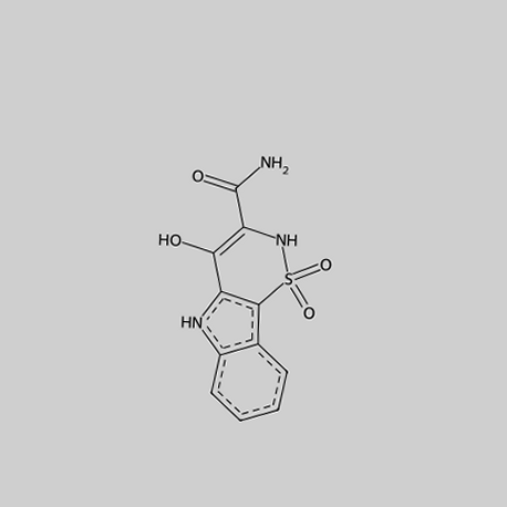 NC(=O)C1=C(O)c2[nH]c3ccccc3c2S(=O)(=O)N1